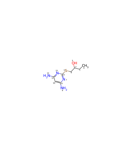 CCC(O)CSc1nc(N)cc(N)n1